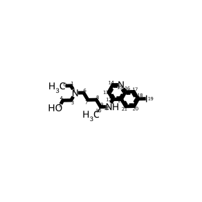 CCN(CCO)CCC[C@@H](C)Nc1ccnc2cc(I)ccc12